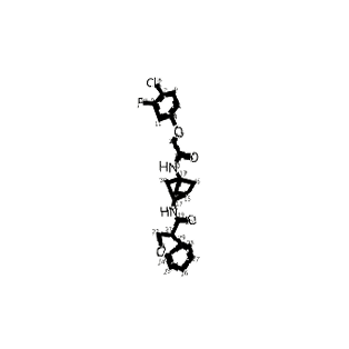 O=C(COc1ccc(Cl)c(F)c1)NC12CC(C1)C(NC(=O)C1COc3ccccc31)C2